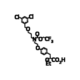 CCOC(Cc1ccc(OCCN(CCCOCc2cc(Cl)cc(Cl)c2)C(=O)OCC(F)(F)F)cc1)C(=O)O